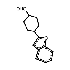 O=CC1CCC(c2cc3ccccc3o2)CC1